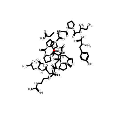 CC[C@H](C)[C@H](NC(=O)[C@@H](N)Cc1ccc(O)cc1)C(=O)N1CCC[C@H]1C(=O)N[C@@H](CCC(N)=O)C(=O)N1CCC[C@H]1C(=O)N[C@@H](CCCNC(=N)N)C(=O)N1CCC[C@H]1C(=O)N1CCC[C@H]1C(=O)N[C@@H](Cc1c[nH]cn1)C(=O)N1CCC[C@H]1C(=O)N[C@@H](CCCNC(=N)N)C(=O)N[C@@H](CC(C)C)C(=O)O